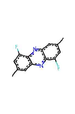 Cc1cc(F)c2nc3cc(C)cc(F)c3nc2c1